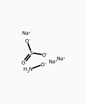 N[O-].O=S([O-])[O-].[Na+].[Na+].[Na+]